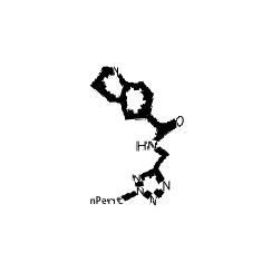 CCCCCn1nnc(CNC(=O)c2ccc3ncccc3c2)n1